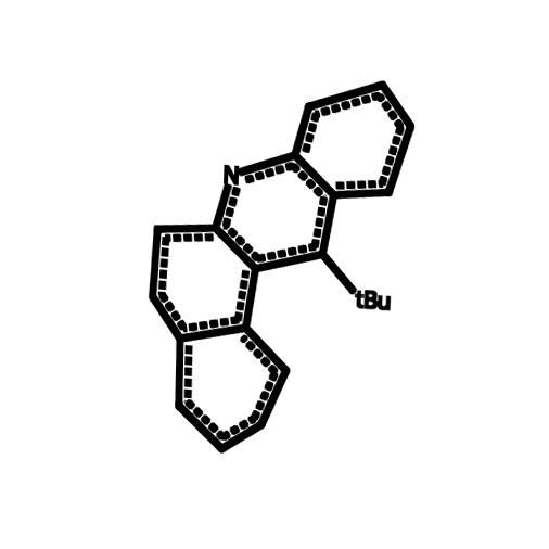 CC(C)(C)c1c2ccccc2nc2ccc3ccccc3c12